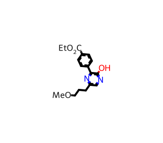 CCOC(=O)c1ccc(-c2nc(CCCOC)cnc2O)cc1